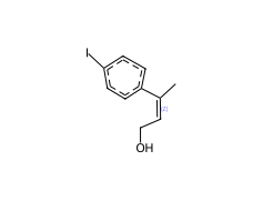 C/C(=C/CO)c1ccc(I)cc1